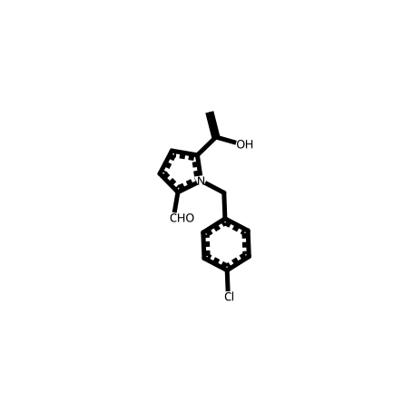 C=C(O)c1ccc(C=O)n1Cc1ccc(Cl)cc1